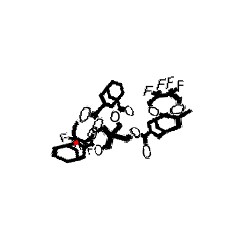 CC1CC2CC(C(=O)OCC3(COC(=O)C45CCCC(CC(C6OCC(F)(F)C(F)(F)CO6)C4)C5)COC(C4CC5CCCC(C5)C4)OC3)CC(C2)C12OCC(F)(F)C(F)(F)CO2